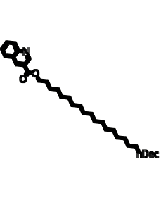 CCCCCCCCCCCCCCCCCCCCCCCCCCCCOC(=O)c1cnc2ccccc2c1